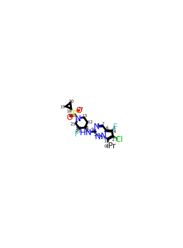 CC(C)c1c(Cl)c(F)c2cnc(N[C@@H]3CCN(S(=O)(=O)C4CC4)C[C@H]3F)nn12